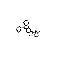 Cc1cc2c(cc1N1[C@@H](C)C3(C)CCC1(C)C3(C)C)c1ccccc1n2-c1ccccc1